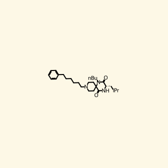 CCCCN1C(=O)[C@H](CC(C)C)NC(=O)C12CCN(CCCCCCc1ccccc1)CC2